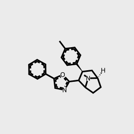 Cc1ccc([C@H]2C[C@H]3CCC(C2c2ncc(-c4ccccc4)o2)N3C)cc1